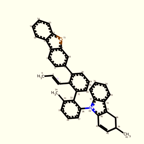 C/C=C/c1c(-c2ccc3c(c2)sc2ccccc23)cccc1-c1c(C)cccc1-n1c2c(c3ccccc31)CC(C)C=C2